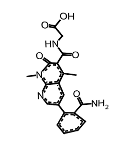 Cc1c(C(=O)NCC(=O)O)c(=O)n(C)c2ncc(-c3ccccc3C(N)=O)cc12